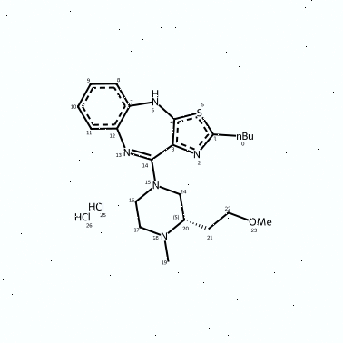 CCCCc1nc2c(s1)Nc1ccccc1N=C2N1CCN(C)[C@@H](CCOC)C1.Cl.Cl